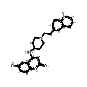 O=c1cc(NC2CCN(CCc3ccc4ncccc4c3)CC2)c2cc(Cl)ccc2o1